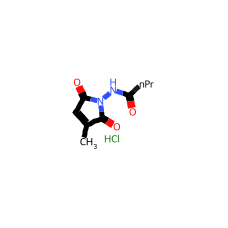 CCCC(=O)NN1C(=O)C=C(C)C1=O.Cl